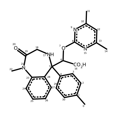 Cc1ccc(C2(C(Oc3nc(C)cc(C)n3)C(=O)O)NCC(=O)N(C)c3ccccc32)cc1